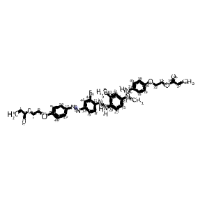 C=CC(=O)OCCOc1ccc(/N=N/c2ccc(NNc3ccc(N(C)Nc4ccc(OCCOC(=O)C=C)cc4)cc3C)c(F)c2)cc1